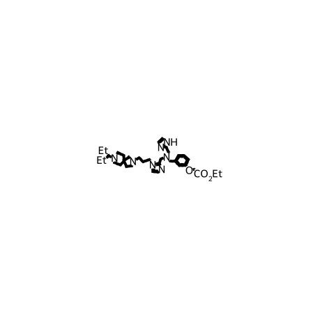 CCOC(=O)COc1cccc(CN(Cc2ncc[nH]2)Cc2nccn2CCCN2CCC3(CCN(C(CC)CC)CC3)C2)c1